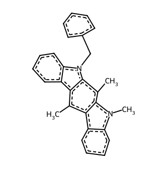 Cc1c2c3ccccc3n(C)c2c(C)c2c1c1ccccc1n2Cc1ccccc1